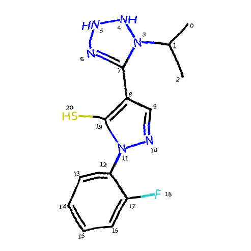 CC(C)N1NNN=C1c1cnn(-c2ccccc2F)c1S